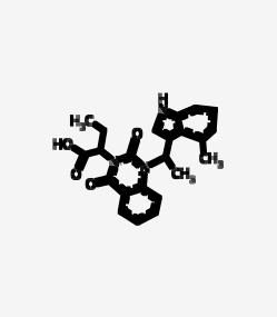 CCC(C(=O)O)n1c(=O)c2ccccc2n(C(C)c2c[nH]c3cccc(C)c23)c1=O